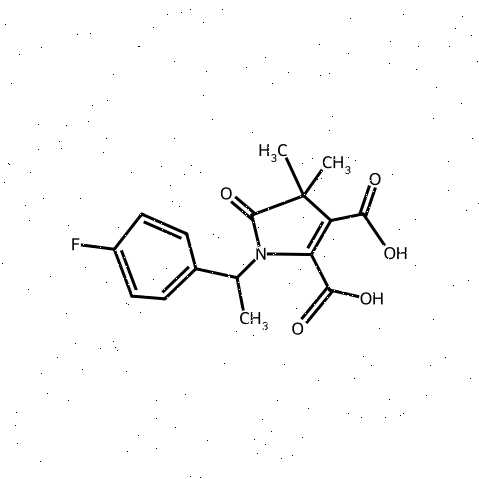 CC(c1ccc(F)cc1)N1C(=O)C(C)(C)C(C(=O)O)=C1C(=O)O